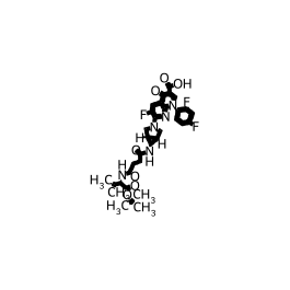 CC(C)[C@H](NC(=O)CCC(=O)N[C@H]1[C@@H]2CN(c3nc4c(cc3F)c(=O)c(C(=O)O)cn4-c3ccc(F)cc3F)C[C@@H]21)C(=O)OC(C)(C)C